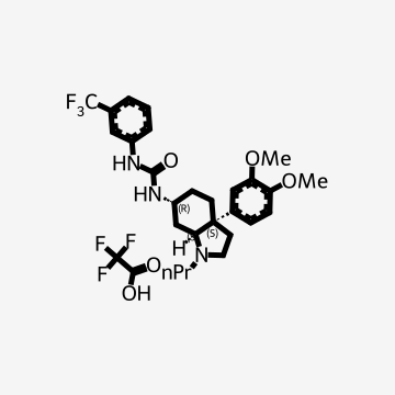 CCCN1CC[C@]2(c3ccc(OC)c(OC)c3)CC[C@@H](NC(=O)Nc3cccc(C(F)(F)F)c3)C[C@H]12.O=C(O)C(F)(F)F